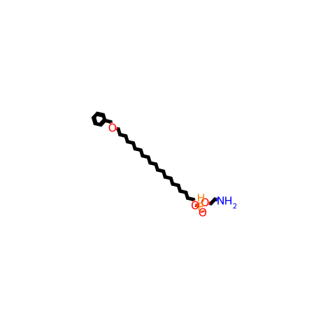 NCCO[PH](=O)OCCCCCCCCCCCCCCCCCCCCCOCc1ccccc1